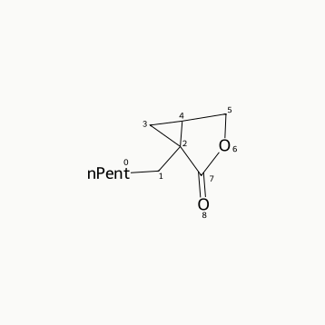 CCCCCCC12CC1COC2=O